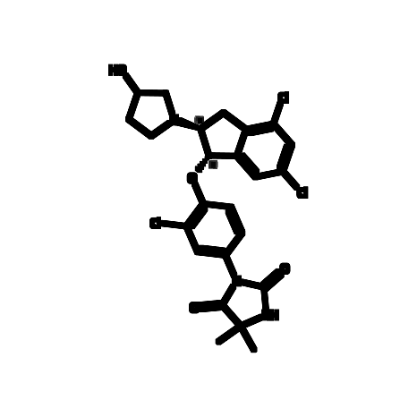 CC1(C)NC(=O)N(c2ccc(O[C@H]3c4cc(Cl)cc(Cl)c4C[C@@H]3N3CCC(O)C3)c(Cl)c2)C1=O